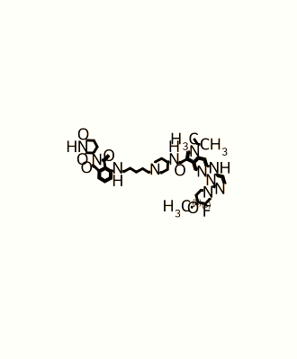 CO[C@@H]1CCN(c2nccc(Nc3cc4c(cn3)c(C(=O)NC3CCN(CCCCCNc5cccc6c5C(=O)N(C5CCC(=O)NC5=O)C6=O)CC3)cn4C(C)C)n2)C[C@@H]1F